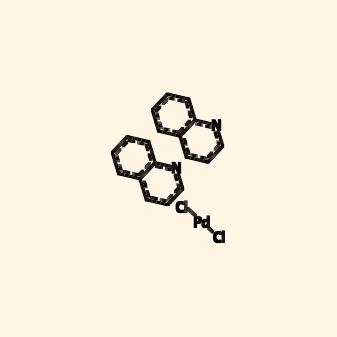 [Cl][Pd][Cl].c1ccc2ncccc2c1.c1ccc2ncccc2c1